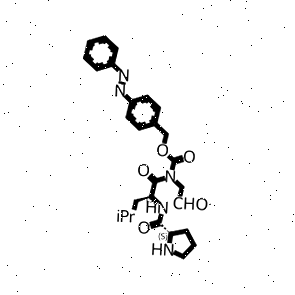 CC(C)C[C@H](NC(=O)[C@@H]1CCCN1)C(=O)N(C[C]=O)C(=O)OCc1ccc(N=Nc2ccccc2)cc1